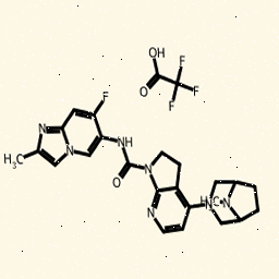 Cc1cn2cc(NC(=O)N3CCc4c(N5CC6CCC(C5)N6C)ccnc43)c(F)cc2n1.O=C(O)C(F)(F)F